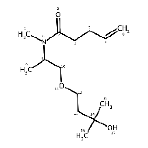 C=CCCC(=O)N(C)C(C)COCCC(C)(C)O